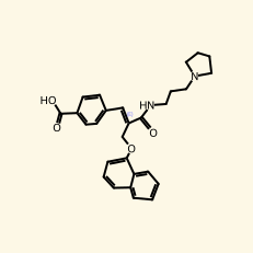 O=C(NCCCN1CCCC1)/C(=C/c1ccc(C(=O)O)cc1)COc1cccc2ccccc12